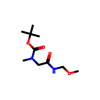 COCNC(=O)CN(C)C(=O)OC(C)(C)C